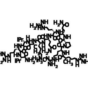 CN=C(N)NCCC[C@H](NC(=O)[C@@H](C)CCCNC(=N)N)C(=O)N1CCC[C@H]1C(=O)N[C@@H](CCC(N)=O)C(=O)N[C@@H](CCCNC(=N)N)C(=O)N[C@@H](CCC(N)=O)C(=O)N[C@@H](CCCCN)C(=O)N[C@@H](C)C(=O)N[C@H](C(=O)N[C@@H](CCCNC(=N)N)C(=O)N[C@H](C(N)=O)C(C)C)C(C)C